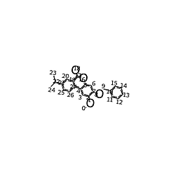 COc1cc2c(cc1OCc1ccccc1)oc(=O)c1cc(C(C)C)ccc12